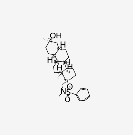 CN(C[C@H]1CCC[C@H]2[C@@H]3CC[C@@H]4C[C@](C)(O)CC[C@@H]4[C@H]3CC[C@]12C)S(=O)(=O)c1ccccc1